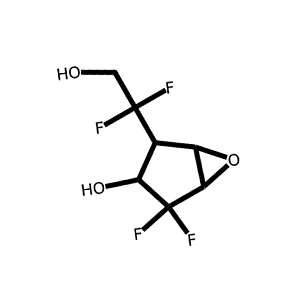 OCC(F)(F)C1C2OC2C(F)(F)C1O